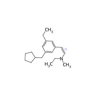 CCc1cc(/C=C\N(C)CC)cc(CC2CCCC2)c1